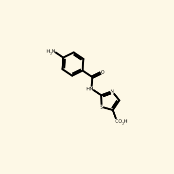 Nc1ccc(C(=O)Nc2ncc(C(=O)O)s2)cc1